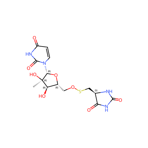 C[C@@]1(O)[C@H](O)[C@@H](COSC[C@H]2NC(=O)NC2=O)O[C@H]1n1ccc(=O)[nH]c1=O